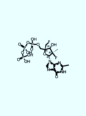 Cc1nc2c(ncn2[C@@H]2O[C@](CF)(COP(=O)(O)OP(=O)(O)OP(=O)(O)O)[C@@H](O)[C@@]2(C)F)c(=O)[nH]1